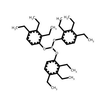 CCc1ccc(OP(Oc2ccc(CC)c(CC)c2CC)Oc2ccc(CC)c(CC)c2CC)c(CC)c1CC